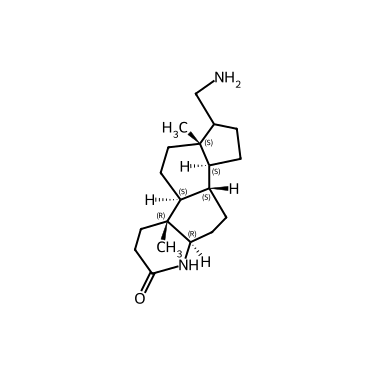 C[C@]12CCC(=O)N[C@@H]1CC[C@@H]1[C@@H]2CC[C@]2(C)C(CN)CC[C@@H]12